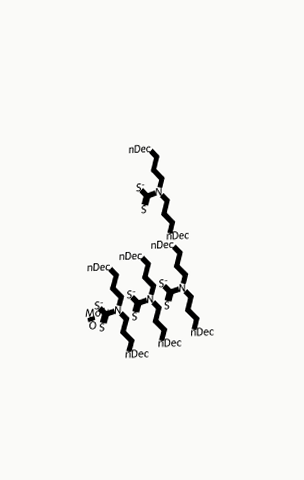 CCCCCCCCCCCCCN(CCCCCCCCCCCCC)C(=S)[S-].CCCCCCCCCCCCCN(CCCCCCCCCCCCC)C(=S)[S-].CCCCCCCCCCCCCN(CCCCCCCCCCCCC)C(=S)[S-].CCCCCCCCCCCCCN(CCCCCCCCCCCCC)C(=S)[S-].[O]=[Mo+4]